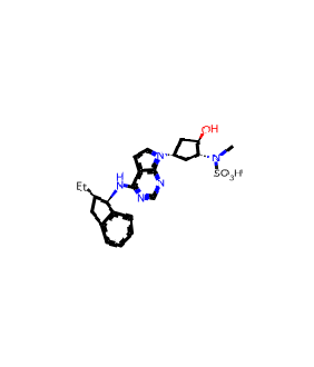 CC[C@@H]1Cc2ccccc2[C@@H]1Nc1ncnc2c1ccn2[C@@H]1C[C@@H](O)[C@H](N(C)S(=O)(=O)O)C1